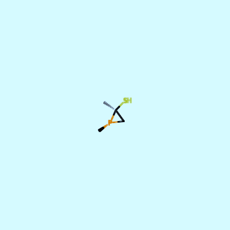 C[P@]1C[C@]1(C)S